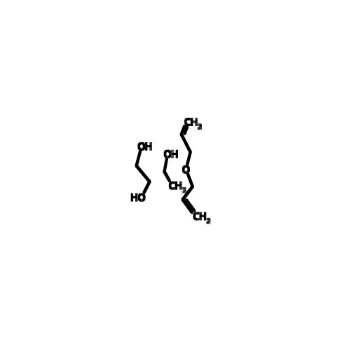 C=CCOCC=C.CCO.OCCO